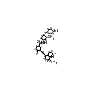 CCN1CCN(Cc2ccc(NC(=O)c3ccc(C)c(C#Cc4cnc(N)c5ncccc45)c3)cc2C(F)(F)F)CC1